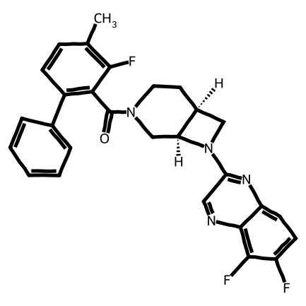 Cc1ccc(-c2ccccc2)c(C(=O)N2CC[C@H]3CN(c4cnc5c(F)c(F)ccc5n4)[C@H]3C2)c1F